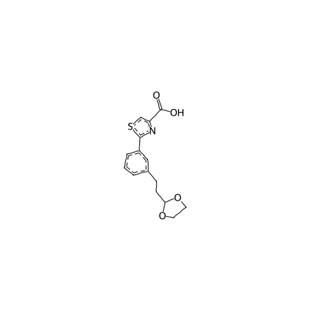 O=C(O)c1csc(-c2cccc(CCC3OCCO3)c2)n1